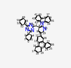 c1ccc(-c2nc(Cc3cc(-c4ccc(-c5ccccc5)c(-c5ccccc5)c4)cnc3-n3c4ccccc4c4ccccc43)nc(-c3ccccc3)n2)cc1